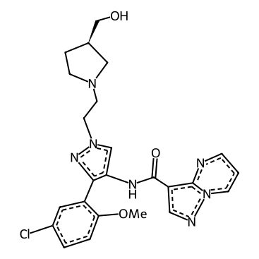 COc1ccc(Cl)cc1-c1nn(CCN2CC[C@@H](CO)C2)cc1NC(=O)c1cnn2cccnc12